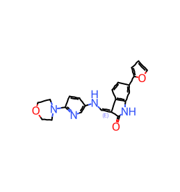 O=C1Nc2cc(-c3ccco3)ccc2/C1=C\Nc1ccc(N2CCOCC2)nc1